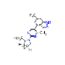 Cc1nc(N2C[C@H]3C[C@H]3C2C(=O)O)ncc1-c1cc(C(F)(F)F)cc2[nH]ncc12